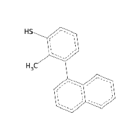 Cc1c(S)cccc1-c1cccc2ccccc12